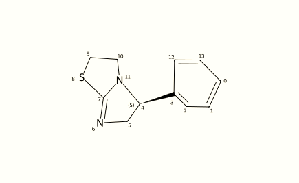 c1ccc([C@H]2CN=C3SCCN32)cc1